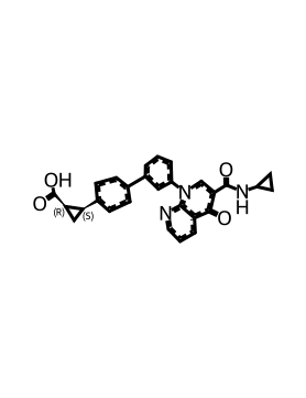 O=C(NC1CC1)c1cn(-c2cccc(-c3ccc([C@H]4C[C@H]4C(=O)O)cc3)c2)c2ncccc2c1=O